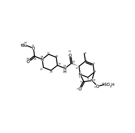 CC1=CC2CN(C(=O)N2OS(=O)(=O)O)[C@@H]1C(=O)NC1CCN(C(=O)OC(C)(C)C)CC1